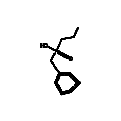 CCCP(=O)(O)Cc1ccccc1